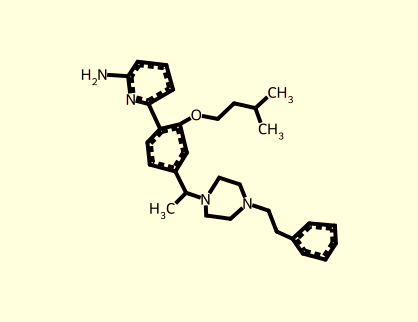 CC(C)CCOc1cc(C(C)N2CCN(CCc3ccccc3)CC2)ccc1-c1cccc(N)n1